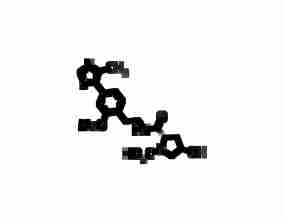 COc1cc(-c2scnc2C)ccc1CCNC(=O)[C@@H]1C[C@@H](O)CN1C(=O)O